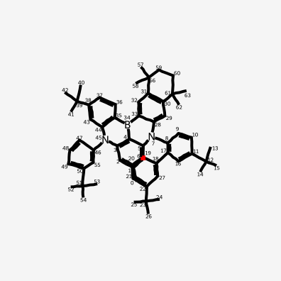 Cc1cc2c3c(c1)N(c1ccc(C(C)(C)C)cc1-c1cccc(C(C)(C)C)c1)c1cc4c(cc1B3c1ccc(C(C)(C)C)cc1N2c1cccc(C(C)(C)C)c1)C(C)(C)CCC4(C)C